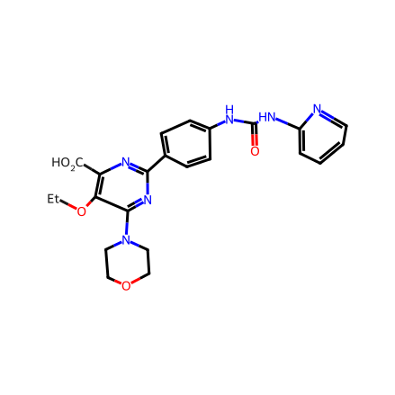 CCOc1c(C(=O)O)nc(-c2ccc(NC(=O)Nc3ccccn3)cc2)nc1N1CCOCC1